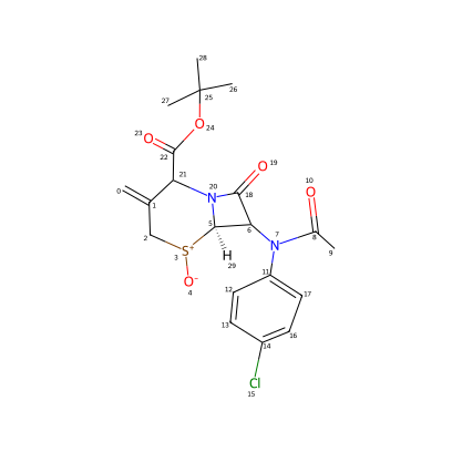 C=C1C[S+]([O-])[C@@H]2C(N(C(C)=O)c3ccc(Cl)cc3)C(=O)N2C1C(=O)OC(C)(C)C